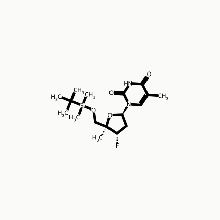 Cc1cn([C@H]2C[C@H](F)[C@@](C)(CO[Si](C)(C)C(C)(C)C)O2)c(=O)[nH]c1=O